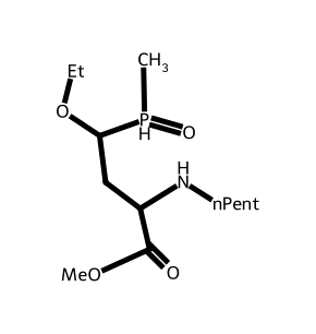 CCCCCNC(CC(OCC)[PH](C)=O)C(=O)OC